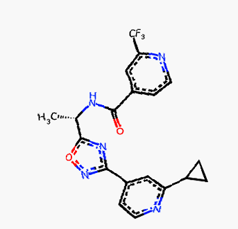 C[C@H](NC(=O)c1ccnc(C(F)(F)F)c1)c1nc(-c2ccnc(C3CC3)c2)no1